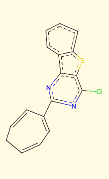 Clc1nc(C2=CC=CCC=C2)nc2c1sc1ccccc12